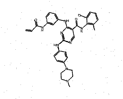 C=CC(=O)Nc1cccc(Nc2nc(Nc3ccc(N4CCN(C)CC4)cc3)ncc2C(=O)Nc2c(C)cccc2Cl)c1